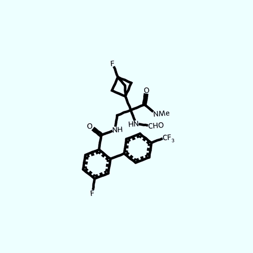 CNC(=O)C(CNC(=O)c1ccc(F)cc1-c1ccc(C(F)(F)F)cc1)(NC=O)C12CC(F)(C1)C2